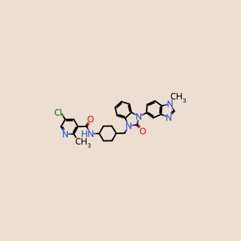 Cc1ncc(Cl)cc1C(=O)NC1CCC(Cn2c(=O)n(-c3ccc4c(c3)ncn4C)c3ccccc32)CC1